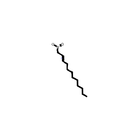 CCCCCCCCC/C=C/C[N+](=O)[O-]